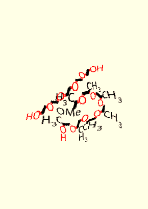 COCC(C)OCC(C)OCC(C)OCC(C)OCC(C)OCC(C)OCC(C)O.OCCOCCOCCOCCOCCO